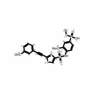 CCOP(=O)(O)c1ccc(NS(=O)(=O)c2csc(C#Cc3cccc(C=O)c3)n2)c(OC)c1